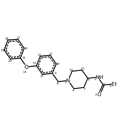 CCC(=O)NC1CCN(Cc2cccc(Oc3ccccc3)c2)CC1